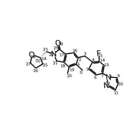 Cc1c(Cc2ccc(-n3cccn3)cc2F)cc2c(c1C)CN(C[C@@H]1CCCO1)C2=O